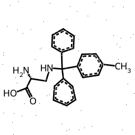 Cc1ccc(C(NC[C@H](N)C(=O)O)(c2ccccc2)c2ccccc2)cc1